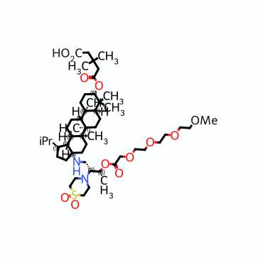 COCCOCCOCCOCC(=O)O[C@H](C)[C@@H](CN[C@]12CC[C@@H](C(C)C)[C@@H]1[C@H]1CC[C@@H]3[C@@]4(C)CC[C@H](OC(=O)CC(C)(C)CC(=O)O)C(C)(C)[C@@H]4CC[C@@]3(C)[C@]1(C)CC2)N1CCS(=O)(=O)CC1